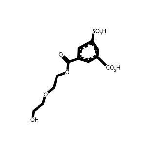 O=C(O)c1cc(C(=O)OCCOCCO)cc(S(=O)(=O)O)c1